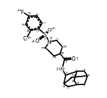 O=C(NC1C2CC3CC(C2)CC1C3)C1CCN(S(=O)(=O)c2ccc(F)cc2Cl)CC1